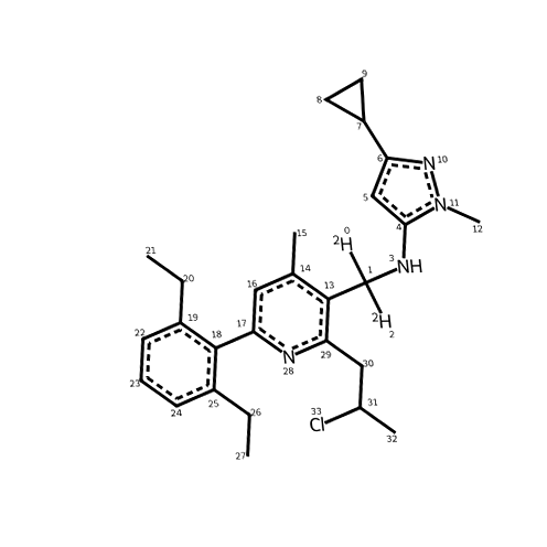 [2H]C([2H])(Nc1cc(C2CC2)nn1C)c1c(C)cc(-c2c(CC)cccc2CC)nc1CC(C)Cl